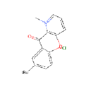 C[n+]1cccc2oc3ccc(C(C)(C)C)cc3c(=O)c21.[Cl-]